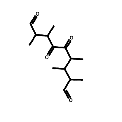 CC(C=O)C(C)C(=O)C(=O)C(C)C(C)C(C)C=O